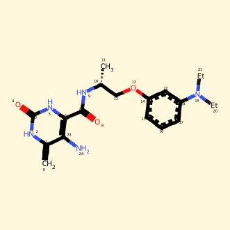 C=C1NC(=O)NC(C(=O)N[C@H](C)COc2cccc(N(CC)CC)c2)=C1N